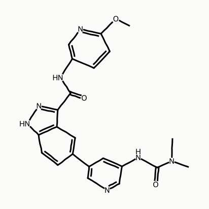 COc1ccc(NC(=O)c2n[nH]c3ccc(-c4cncc(NC(=O)N(C)C)c4)cc23)cn1